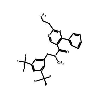 CCCc1ncc(C(=O)N(C)Cc2cc(C(F)(F)F)cc(C(F)(F)F)c2)c(-c2ccccc2)n1